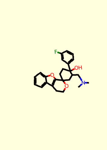 CN(C)CC1CC2(CCC1(O)c1cccc(F)c1)OCCc1c2oc2ccccc12